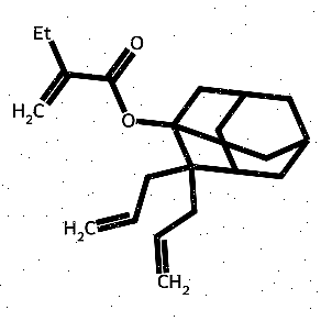 C=CCC1(CC=C)C2CC3CC(C2)CC1(OC(=O)C(=C)CC)C3